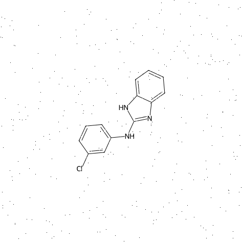 Clc1cccc(Nc2nc3ccccc3[nH]2)c1